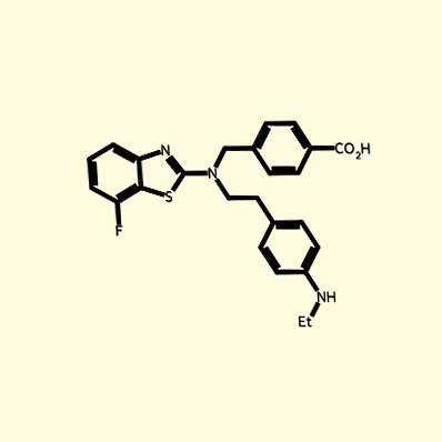 CCNc1ccc(CCN(Cc2ccc(C(=O)O)cc2)c2nc3cccc(F)c3s2)cc1